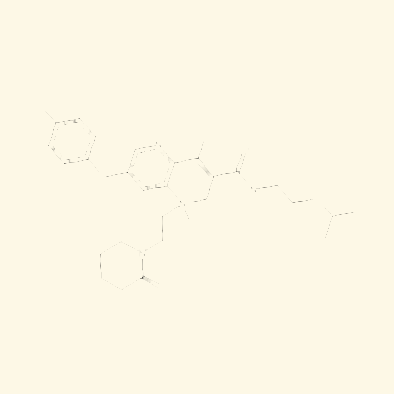 CC(C)OCCNC(=O)C1=C(O)c2ncc(Cc3ccc(F)cc3)cc2[N+]([O-])(CCN2CCCCC2=O)C1